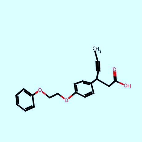 CC#CC(CC(=O)O)c1ccc(OCCOc2ccccc2)cc1